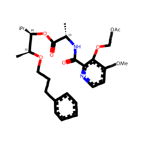 COc1ccnc(C(=O)N[C@@H](C)C(=O)O[C@H](C(C)C)[C@H](C)OCCCc2ccccc2)c1OCOC(C)=O